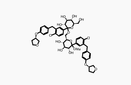 COC1(c2ccc(Cl)c(Cc3ccc(O[C@@H]4CCOC4)cc3)c2)O[C@H](COC2(c3ccc(Cl)c(Cc4ccc(O[C@@H]5CCOC5)cc4)c3)O[C@H](CO)[C@@H](O)[C@H](O)[C@H]2O)[C@@H](O)[C@H](O)[C@H]1O